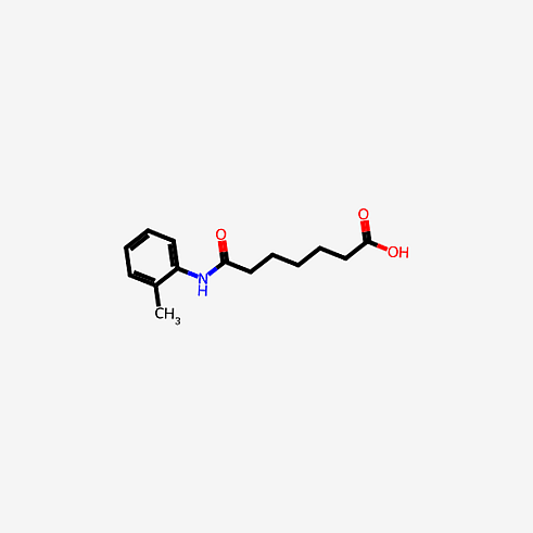 Cc1ccccc1NC(=O)CCCCCC(=O)O